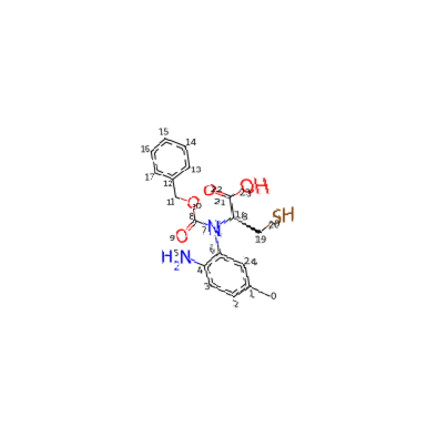 Cc1ccc(N)c(N(C(=O)OCc2ccccc2)[C@H](CS)C(=O)O)c1